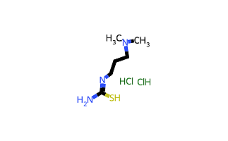 CN(C)CCCN=C(N)S.Cl.Cl